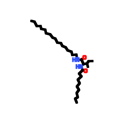 CCCCCCCCCCCCCCCCCCNC(=O)C(NC(=O)CCCCCCCCCC)C(C)CC